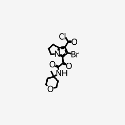 CC1(NC(=O)C(=O)c2c(Br)c(C(=O)Cl)c3n2CCC3)CCOCC1